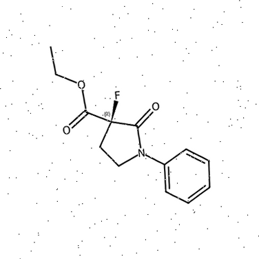 CCOC(=O)[C@@]1(F)CCN(c2ccccc2)C1=O